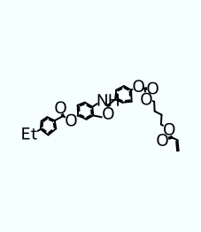 C=CC(=O)OCCCCOC(=O)Oc1ccc(C(=O)Nc2ccc(OC(=O)c3ccc(CC)cc3)cc2C)cc1